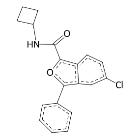 O=C(NC1CCC1)c1oc(-c2ccccc2)c2cc(Cl)ccc12